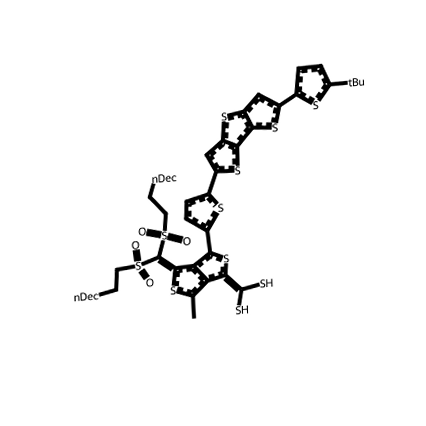 CCCCCCCCCCCCS(=O)(=O)C(=c1sc(C)c2c(=C(S)S)sc(-c3ccc(-c4cc5sc6cc(-c7ccc(C(C)(C)C)s7)sc6c5s4)s3)c12)S(=O)(=O)CCCCCCCCCCCC